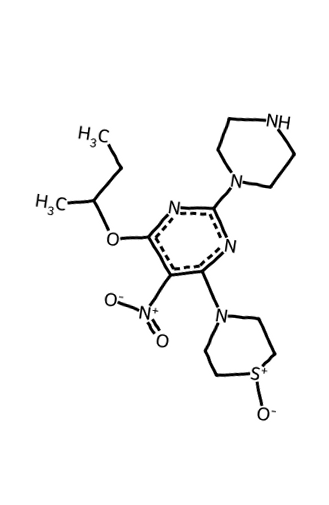 CCC(C)Oc1nc(N2CCNCC2)nc(N2CC[S+]([O-])CC2)c1[N+](=O)[O-]